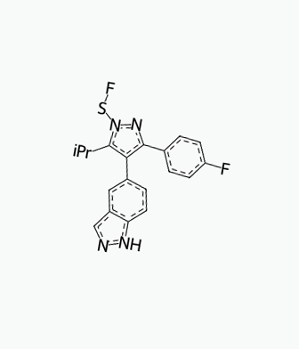 CC(C)c1c(-c2ccc3[nH]ncc3c2)c(-c2ccc(F)cc2)nn1SF